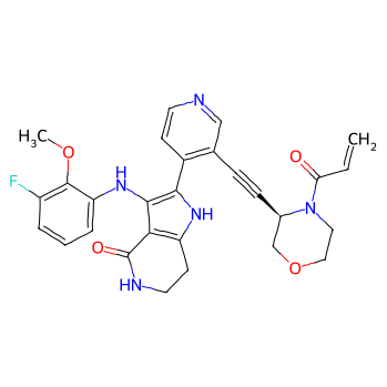 C=CC(=O)N1CCOC[C@H]1C#Cc1cnccc1-c1[nH]c2c(c1Nc1cccc(F)c1OC)C(=O)NCC2